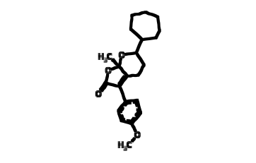 COc1ccc(C2=C3CCC(C4CCCCCC4)O[C@@]3(C)OC2=O)cc1